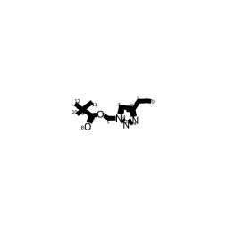 CCc1cn(COC(=O)C(C)(C)C)nn1